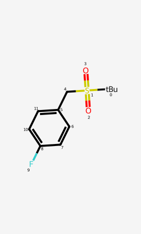 CC(C)(C)S(=O)(=O)Cc1ccc(F)cc1